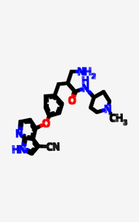 CN1CCC(NC(=O)C(CN)Cc2ccc(Oc3ccnc4[nH]cc(C#N)c34)cc2)CC1